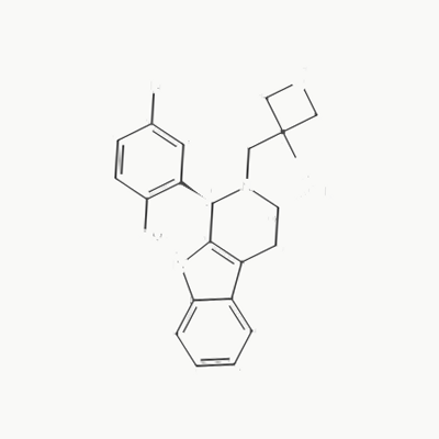 COc1ccc(Br)cc1[C@@H]1c2[nH]c3ccccc3c2C[C@@H](C)N1CC1(F)COC1